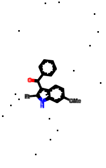 CCc1[nH]c2cc(OC)ccc2c1C(=O)c1ccccc1